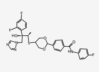 C[C@@H](SC1COC(c2ccc(C(=O)Nc3ccc(F)cc3)cc2)OC1)[C@](O)(Cn1cncn1)c1ccc(F)cc1F